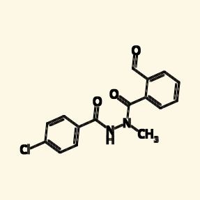 CN(NC(=O)c1ccc(Cl)cc1)C(=O)c1ccccc1C=O